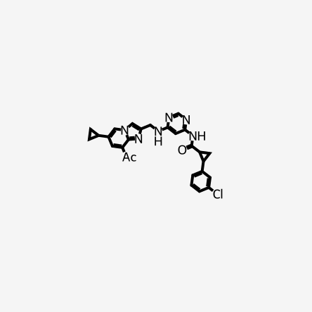 CC(=O)c1cc(C2CC2)cn2cc(CNc3cc(NC(=O)C4CC4c4cccc(Cl)c4)ncn3)nc12